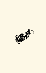 Cc1oc(-c2ccc(C(F)(F)F)cc2)cc1C(Oc1ccc(C(=O)N(C)CCC(=O)O)cc1)C1CCCCC1